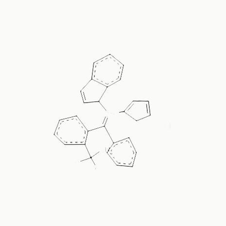 CC(C)(C)c1ccccc1[C](c1ccccc1)=[Zr+2]([C]1=CC=CC1)[CH]1C=Cc2ccccc21.[Cl-].[Cl-]